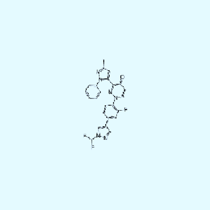 Cc1cc(-c2nn(-c3ccc(-c4cnn(C(F)F)c4)cc3F)ccc2=O)n(-c2ccccc2)n1